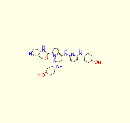 O=C(Nc1ccncc1F)c1ccc2c(Nc3cccc(N[C@H]4CC[C@H](O)CC4)n3)cc(N[C@H]3CC[C@H](O)CC3)nn12